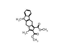 COC(=O)c1c(C(=O)OC)c2n(c1C)Cc1c(c3ccccc3n1C)C2